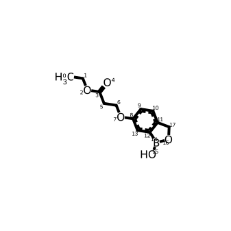 CCOC(=O)CCOc1ccc2c(c1)B(O)OC2